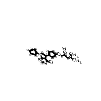 CN(C)CC(O)COc1ccc(-c2cn(-c3ccccc3)c3ncnc(Cl)c23)cc1